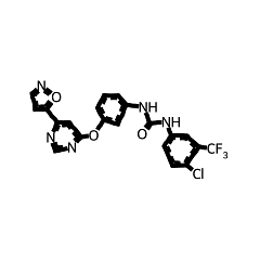 O=C(Nc1cccc(Oc2cc(-c3ccno3)ncn2)c1)Nc1ccc(Cl)c(C(F)(F)F)c1